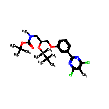 Cc1c(Cl)nc(-c2cccc(OC[C@H](CN(C)C(=O)OC(C)(C)C)O[Si](C)(C)C(C)(C)C)c2)nc1Cl